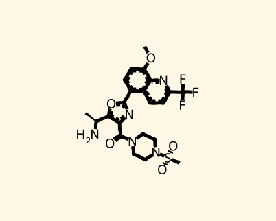 COc1ccc(-c2nc(C(=O)N3CCN(S(C)(=O)=O)CC3)c([C@H](C)N)o2)c2ccc(C(F)(F)F)nc12